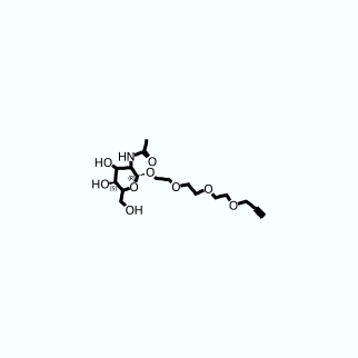 C#CCOCCOCCOCCO[C@@H]1OC(CO)[C@@H](O)C(O)C1NC(C)=O